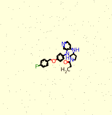 C=CC(=O)N1CCC(Nc2ccncc2Nc2ccc(OCc3ccc(F)cc3)cc2)C1